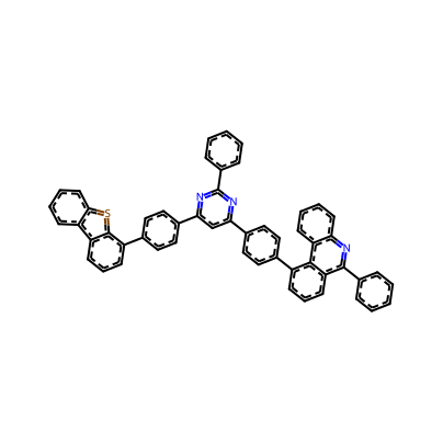 c1ccc(-c2nc(-c3ccc(-c4cccc5c4sc4ccccc45)cc3)cc(-c3ccc(-c4cccc5c(-c6ccccc6)nc6ccccc6c45)cc3)n2)cc1